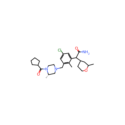 Cc1c(CN2CCN(C(=O)C3CCCC3)[C@@H](C)C2)cc(Cl)cc1C(C(N)=O)C1CCOC(C)C1